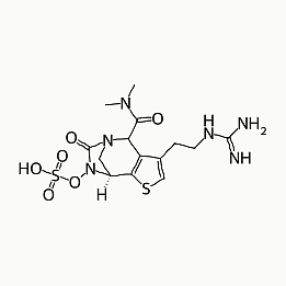 CN(C)C(=O)C1c2c(CCNC(=N)N)csc2[C@@H]2CN1C(=O)N2OS(=O)(=O)O